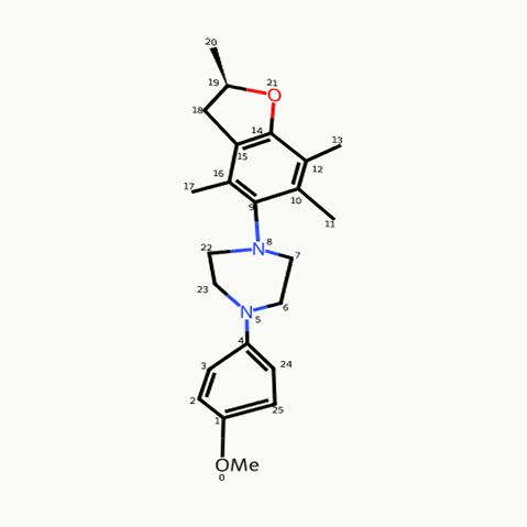 COc1ccc(N2CCN(c3c(C)c(C)c4c(c3C)C[C@@H](C)O4)CC2)cc1